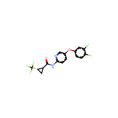 O=C(Nc1ccc(Oc2ccc(F)c(F)c2)cn1)C1C[C@@H]1C(F)(F)F